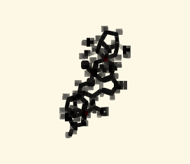 Cn1cc2c(Cl)c(-c3c[nH]c4nc(N5[C@H]6CC[C@@H]5[C@@H](F)[C@@H](NC(=O)OCc5ccccc5)C6)cnc34)ccc2n1